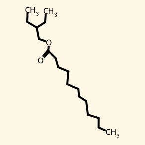 CCCCCCCCCCCC(=O)OCC(CC)CC